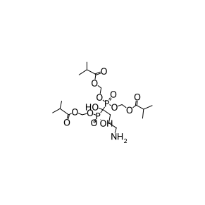 CC(C)C(=O)OCOP(=O)(O)C(O)(CCCN)P(=O)(OCOC(=O)C(C)C)OCOC(=O)C(C)C